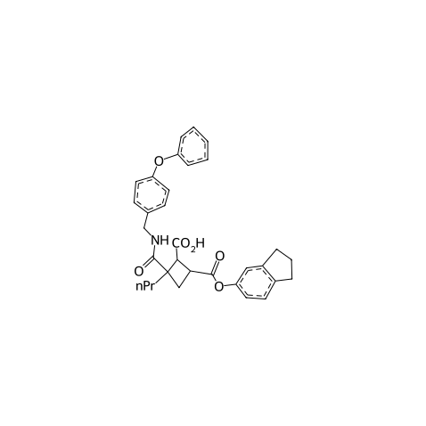 CCCC1(C(=O)NCc2ccc(Oc3ccccc3)cc2)CC(C(=O)Oc2ccc3c(c2)CCC3)C1C(=O)O